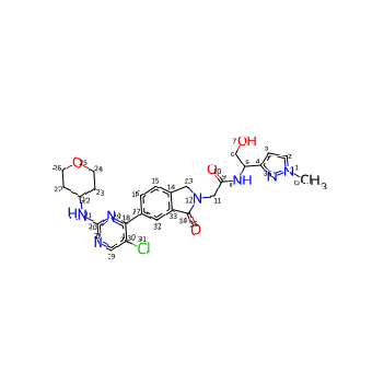 Cn1ccc(C(CO)NC(=O)CN2Cc3ccc(-c4nc(NC5CCOCC5)ncc4Cl)cc3C2=O)n1